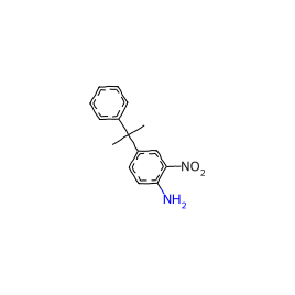 CC(C)(c1ccccc1)c1ccc(N)c([N+](=O)[O-])c1